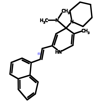 CC1=CNC(/C=C/c2cccc3ccccc23)=CC1(N(C)C)N1CCCCC1